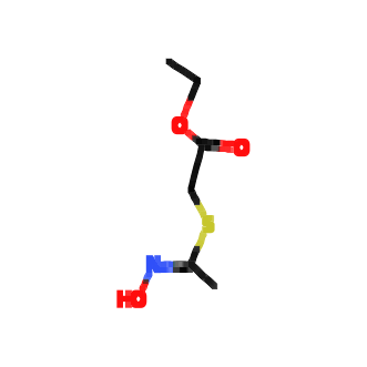 CCOC(=O)CSC(C)=NO